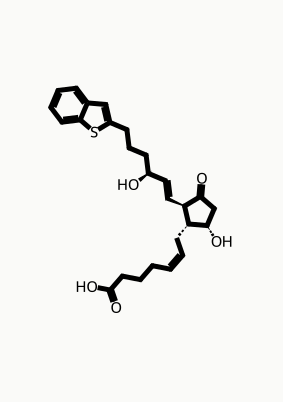 O=C(O)CCC/C=C\C[C@H]1[C@@H](O)CC(=O)[C@@H]1/C=C/[C@@H](O)CCCc1cc2ccccc2s1